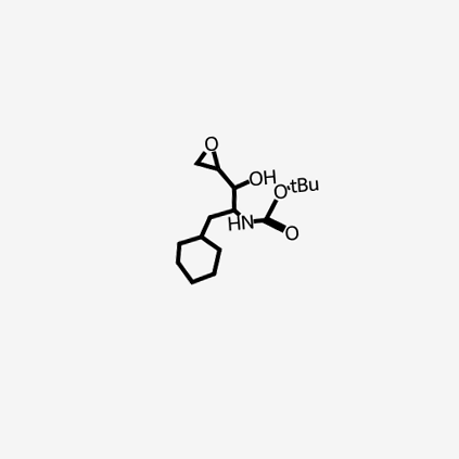 CC(C)(C)OC(=O)NC(CC1CCCCC1)C(O)C1CO1